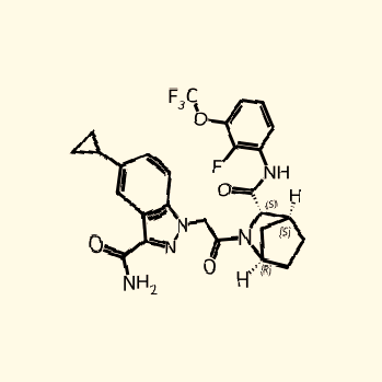 NC(=O)c1nn(CC(=O)N2[C@@H]3CC[C@@H](C3)[C@H]2C(=O)Nc2cccc(OC(F)(F)F)c2F)c2ccc(C3CC3)cc12